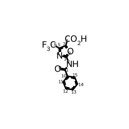 O=C(Nc1nc(C(F)(F)F)c(C(=O)O)o1)c1ccccc1